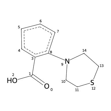 O=C(O)c1ccccc1N1CCSCC1